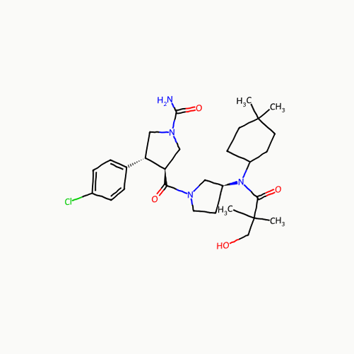 CC1(C)CCC(N(C(=O)C(C)(C)CO)[C@H]2CCN(C(=O)[C@@H]3CN(C(N)=O)C[C@H]3c3ccc(Cl)cc3)C2)CC1